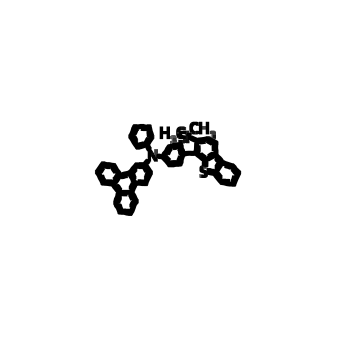 C[Si]1(C)c2cc(N(c3ccccc3)c3ccc4c5ccccc5c5ccccc5c4c3)ccc2-c2c1ccc1c2sc2ccccc21